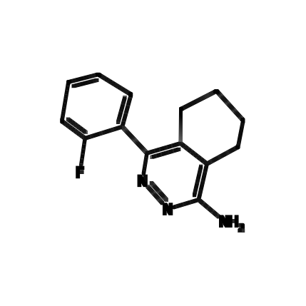 Nc1nnc(-c2ccccc2F)c2c1CCCC2